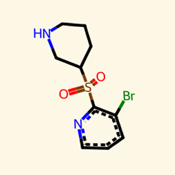 O=S(=O)(c1ncccc1Br)C1CCCNC1